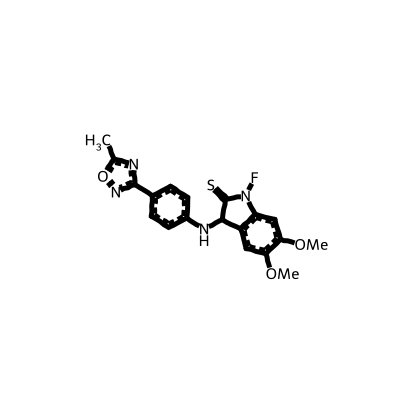 COc1cc2c(cc1OC)N(F)C(=S)C2Nc1ccc(-c2noc(C)n2)cc1